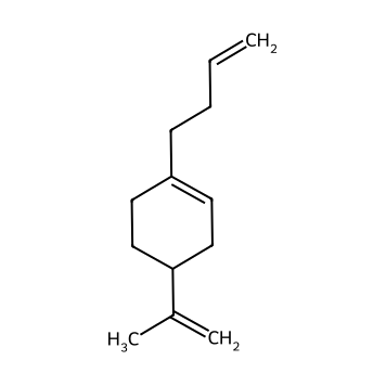 C=CCCC1=CCC(C(=C)C)CC1